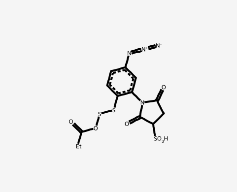 CCC(=O)OSSc1ccc(N=[N+]=[N-])cc1N1C(=O)CC(S(=O)(=O)O)C1=O